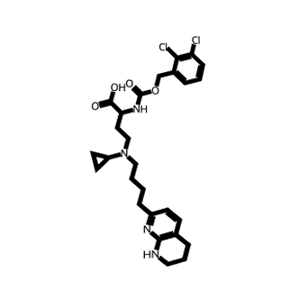 O=C(NC(CCN(CCCCc1ccc2c(n1)NCCC2)C1CC1)C(=O)O)OCc1cccc(Cl)c1Cl